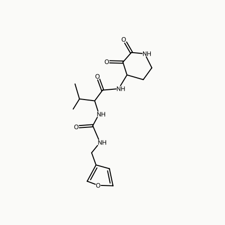 CC(C)C(NC(=O)NCc1ccoc1)C(=O)NC1CCNC(=O)C1=O